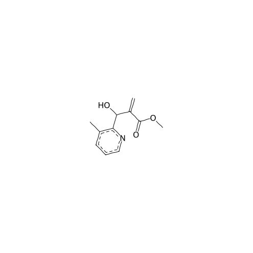 C=C(C(=O)OC)C(O)c1ncccc1C